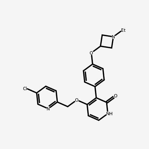 CCN1CC(Oc2ccc(-c3c(OCc4ccc(Cl)cn4)cc[nH]c3=O)cc2)C1